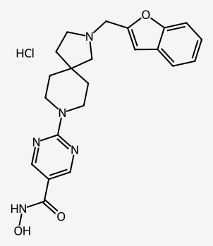 Cl.O=C(NO)c1cnc(N2CCC3(CCN(Cc4cc5ccccc5o4)C3)CC2)nc1